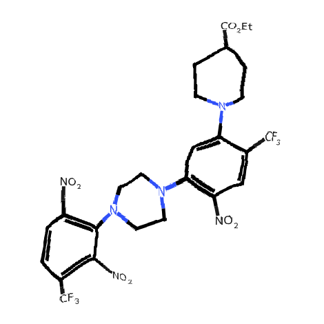 CCOC(=O)C1CCN(c2cc(N3CCN(c4c([N+](=O)[O-])ccc(C(F)(F)F)c4[N+](=O)[O-])CC3)c([N+](=O)[O-])cc2C(F)(F)F)CC1